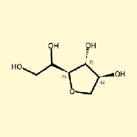 OC[C](O)[C@@H]1OC[C@H](O)[C@H]1O